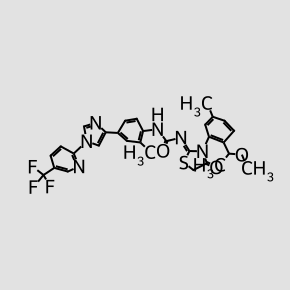 COC(C)c1ccc(C)cc1N1C(=O)CS/C1=N\C(=O)Nc1ccc(-c2cn(-c3ccc(C(F)(F)F)cn3)cn2)cc1C